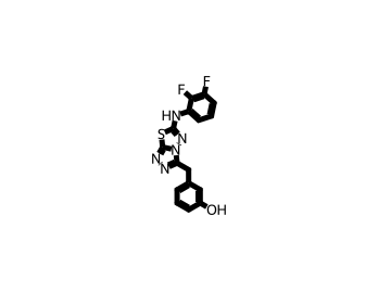 Oc1cccc(Cc2nnc3sc(Nc4cccc(F)c4F)nn23)c1